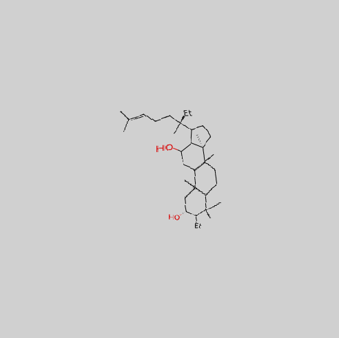 CCC1[C@H](O)CC2(C)C(CCC3(C)C2CC(O)C2C([C@@](C)(CC)CCC=C(C)C)CC[C@]23C)C1(C)C